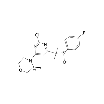 C[C@H]1COCCN1c1cc(C(C)(C)[S+]([O-])c2ccc(F)cc2)nc(Cl)n1